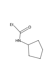 CCC(=O)NC1CCCC1